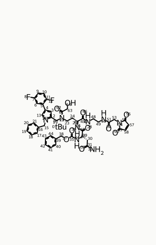 CC(C)(C)[C@H](c1cc(-c2cc(F)ccc2F)cn1Cc1ccccc1)N(CC[C@H](NC(=O)[C@H](CC(N)=O)NC(=O)OCc1ccccc1)C(=O)NCCNC(=O)CN1C(=O)C=CC1=O)C(=O)CO